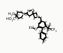 CCOc1cc(CN2CC3(CC(N4CCC(C)(C(=O)O)CC4)=NO3)C2)cc(C(F)(F)C(F)(F)F)c1-c1ccc(F)cc1